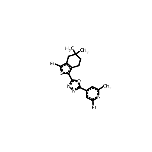 CCc1cc(-c2nnc(-c3sc(CC)c4c3CCC(C)(C)C4)o2)cc(C)n1